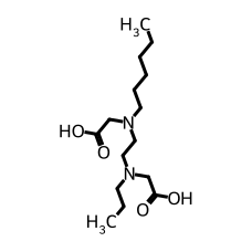 CCCCCCN(CCN(CCC)CC(=O)O)CC(=O)O